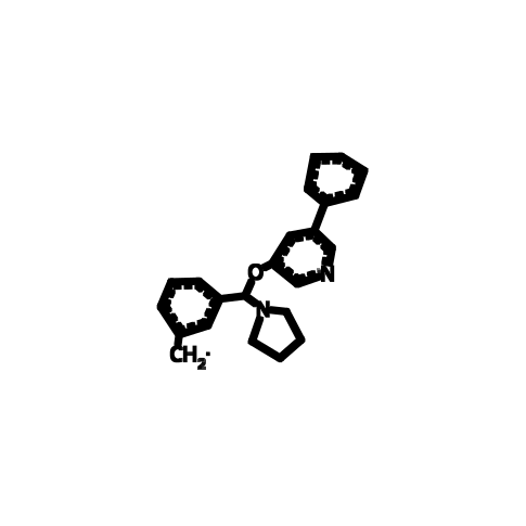 [CH2]c1cccc(C(Oc2cncc(-c3ccccc3)c2)N2CCCC2)c1